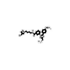 CCc1nc(-c2ccc(OC)cc2)n(-c2cccc(C(=O)NCCCCn3cc(Br)cn3)c2)n1